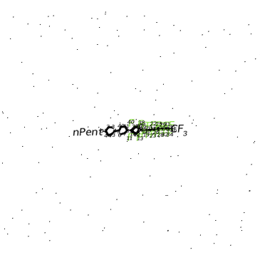 CCCCC[C@H]1CC[C@H]([C@H]2CC[C@H](c3c(F)c(F)c(C(F)(F)C(F)(F)C(F)(F)C(F)(F)C(F)(F)C(F)(F)C(F)(F)C(F)(F)F)c(F)c3F)CC2)CC1